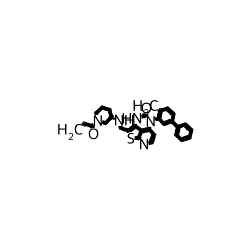 C=CC(=O)N1CCC[C@@H](NCc2sc3nccc4c3c2NC(=O)N4c2cc(-c3ccccc3)ccc2C)C1